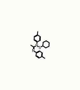 CC(=Nc1ccc(C)cc1)N(SC1CCCCC1)c1ccc(C)cc1